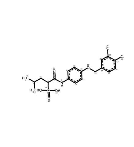 CC(C)CC(C(=O)Nc1ccc(OCc2ccc(Cl)c(Cl)c2)cc1)P(=O)(O)O